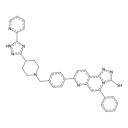 Sc1nnc2c3ccc(-c4ccc(CN5CCC(c6n[nH]c(-c7ccccn7)n6)CC5)cc4)nc3cc(-c3ccccc3)n12